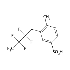 Cc1ccc(S(=O)(=O)O)cc1CC(F)(F)C(F)(F)C(F)(F)F